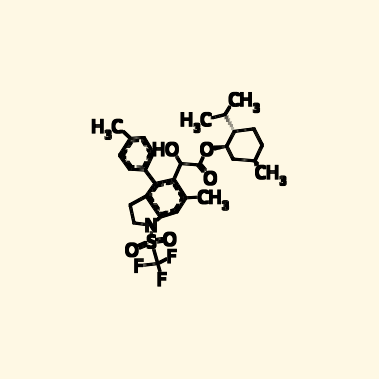 Cc1ccc(-c2c3c(cc(C)c2C(O)C(=O)O[C@@H]2C[C@H](C)CC[C@H]2C(C)C)N(S(=O)(=O)C(F)(F)F)CC3)cc1